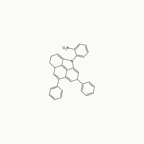 O=[N+]([O-])c1ccccc1-n1c2c3c4c1=CCCC4C=C(c1ccccc1)C3=CC(c1ccccc1)C=2